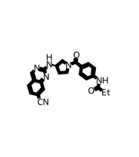 CCC(=O)Nc1ccc(C(=O)N2CC[C@@H](Nc3ncc4ccc(C#N)cc4n3)C2)cc1